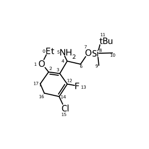 CCOC1=C(C(N)CO[Si](C)(C)C(C)(C)C)C(F)=C(Cl)C[CH]1